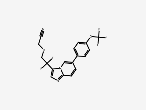 N#CCOCC(F)(F)c1nnc2ccc(-c3ccc(OC(F)(F)F)cc3)cn12